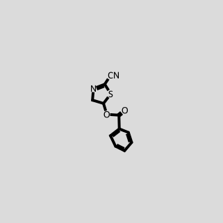 N#CC1=NCC(OC(=O)c2ccccc2)S1